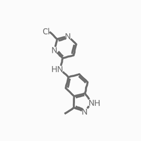 Cc1n[nH]c2ccc(Nc3ccnc(Cl)n3)cc12